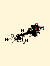 CC[C@H](C)C(C(CC(=O)N1CCC[C@H]1[C@H](OC)[C@@H](C)C(=O)N[C@H](C)[C@@H](O)c1ccccc1)OC)N(C)C(=O)C(NC(=O)C(C(C)C)N(C)C(=O)CCC(NC(=O)CCCCCCC(=O)NCCCCC(NC(=O)NC(CCC(=O)O)C(=O)O)C(=O)O)C(=O)O)C(C)C